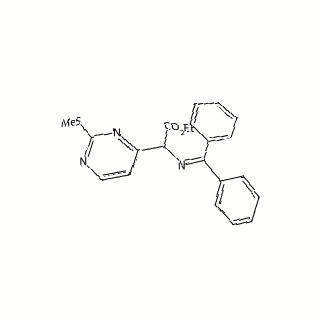 CCOC(=O)C(N=C(c1ccccc1)c1ccccc1)c1ccnc(SC)n1